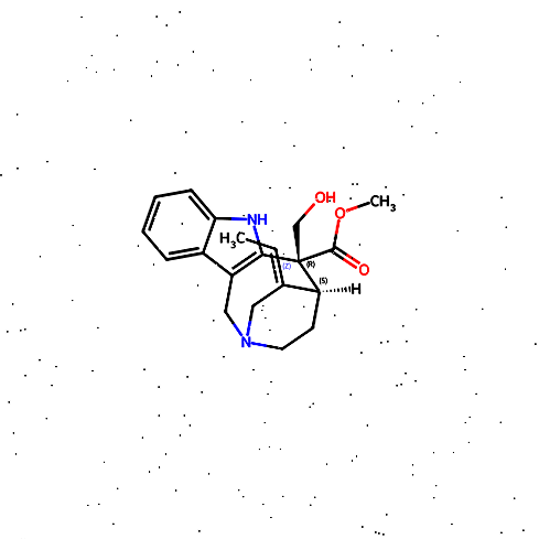 C/C=C1\CN2CC[C@@H]1[C@@](CO)(C(=O)OC)c1[nH]c3ccccc3c1C2